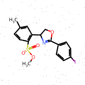 COS(=O)(=O)c1ccc(C)cc1C1COC(c2ccc(I)cc2)=N1